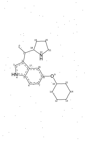 CC(c1c[nH]c2ccc(OC3CCCCC3)cc12)C1CCCN1